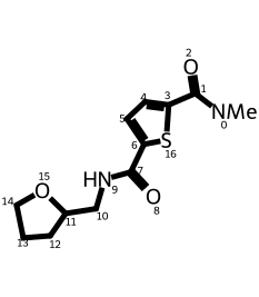 CNC(=O)c1ccc(C(=O)NCC2CCCO2)s1